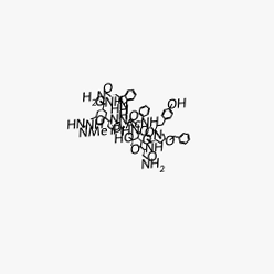 CNC(=N)NCCC[C@H](CC(=O)[C@H](CC(C)C)NC(=O)NCC(=O)[C@H](Cc1ccccc1)NC(=O)[C@@H](CC(=O)[C@H](CC(N)=O)NC(=O)[C@@H]1C[C@@H](OCc2ccccc2)CN1C(=O)[C@@H](Cc1ccc(O)cc1)NC(C)=O)[C@@H](C)O)C(=O)N[C@@H](Cc1c[nH]c2ccccc12)C(N)=O